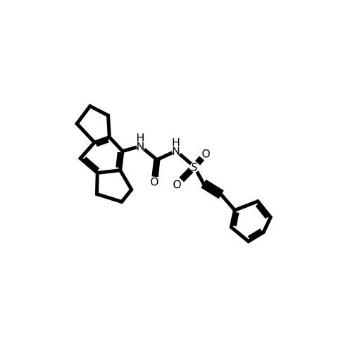 O=C(Nc1c2c(cc3c1CCC3)CCC2)NS(=O)(=O)C#Cc1ccccc1